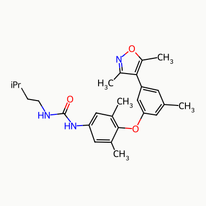 Cc1cc(Oc2c(C)cc(NC(=O)NCCC(C)C)cc2C)cc(-c2c(C)noc2C)c1